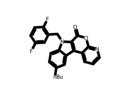 CCCCc1ccc2c(c1)c1c3cccnc3oc(=O)c1n2Cc1cc(F)ccc1F